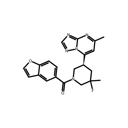 Cc1cc([C@@H]2CN(C(=O)c3ccc4occc4c3)CC(C)(F)C2)n2ncnc2n1